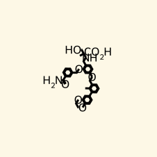 Cc1c(COc2ccc(CNC(C)(CO)C(=O)O)c(OCc3cccc(C(N)=O)c3)c2)cccc1-c1ccc2c(c1)OCCO2